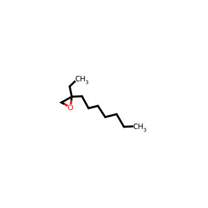 CCCCCCCC1(CC)CO1